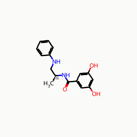 C[C@@H](CNc1ccccc1)NC(=O)c1cc(O)cc(O)c1